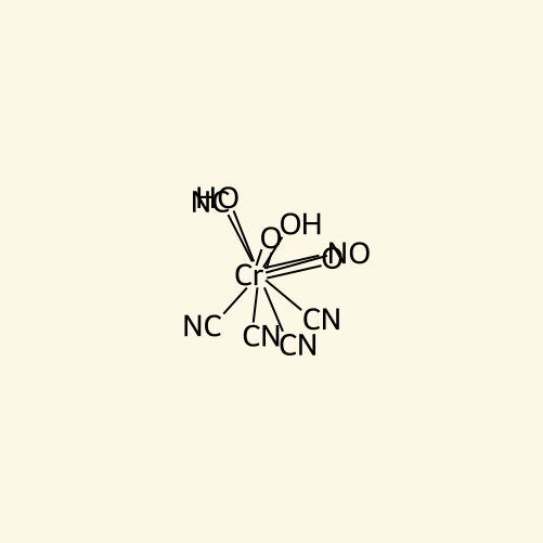 N#[C][Cr](=[O])(=[O])([OH])([OH])([C]#N)([C]#N)([C]#N)([C]#N)[N]=O